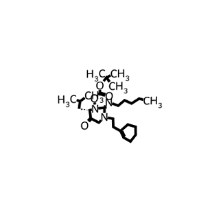 CCCCCN=C1N(CCC2=CCCCC2)CC(=O)[C@H](CC(C)C)N1OC(=O)OC(C)(C)C